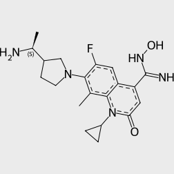 Cc1c(N2CCC([C@H](C)N)C2)c(F)cc2c(C(=N)NO)cc(=O)n(C3CC3)c12